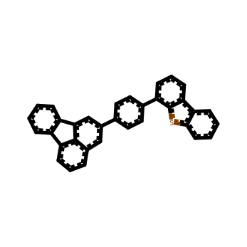 c1ccc2c(c1)-c1cccc3cc(-c4ccc(-c5cccc6c5sc5ccccc56)cc4)cc-2c13